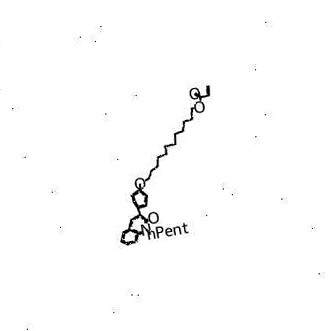 C=CC(=O)OCCCCCCCCCCCCOc1ccc(-c2cc3ccccc3n(CCCCC)c2=O)cc1